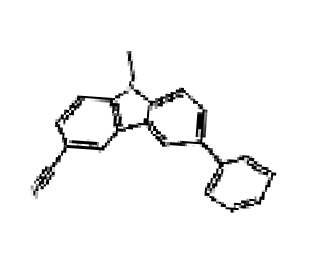 Cn1c2ccc(C#N)cc2c2cc(-c3ccccc3)ccc21